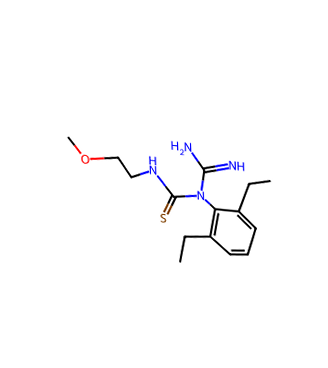 CCc1cccc(CC)c1N(C(=N)N)C(=S)NCCOC